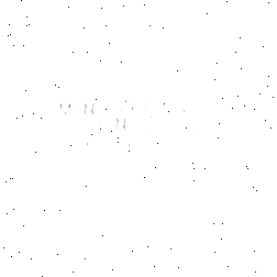 CNC(=O)N(N)Cc1ccc(C)c(C)c1